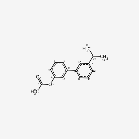 CC(=O)Oc1cccc(-c2cccc(C(C)C)c2)c1